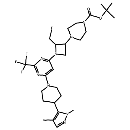 Cc1cnn(C)c1C1CCN(c2cc(N3CC(N4CCN(C(=O)OC(C)(C)C)CC4)C3CF)nc(C(F)(F)F)n2)CC1